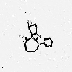 C=C1/C=C\C=C/CN(c2ccccc2)c2nc3ccc(C)cc3n21